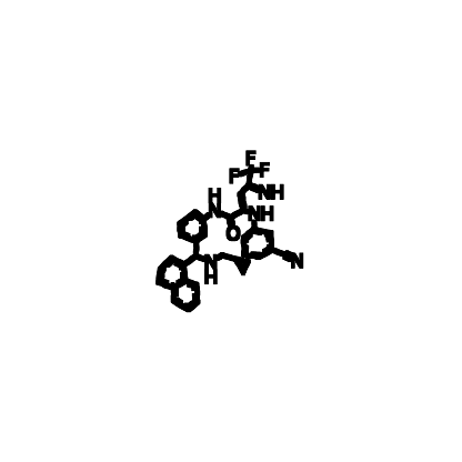 N#Cc1cccc(N/C(=C\C(=N)C(F)(F)F)C(=O)Nc2cccc(C(NCC3CC3)c3cccc4ccccc34)c2)c1